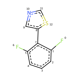 Fc1cccc(F)c1-c1cncs1